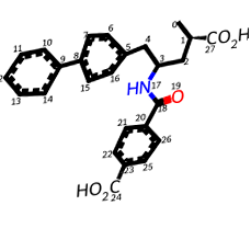 C[C@H](CC(Cc1ccc(-c2ccccc2)cc1)NC(=O)c1ccc(C(=O)O)cc1)C(=O)O